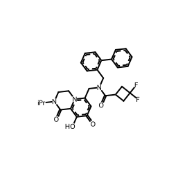 CC(C)N1CCn2c(CN(Cc3ccccc3-c3ccccc3)C(=O)C3CC(F)(F)C3)cc(=O)c(O)c2C1=O